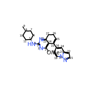 COc1nc(N[C@H]2CC[C@H](C)CC2)nc2c1C(c1ccn3nccc3c1)=CCC2